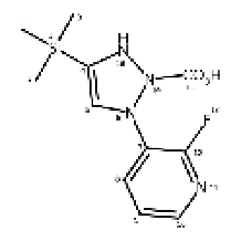 C[Si](C)(C)C1=CN(c2cccnc2F)N(C(=O)O)N1